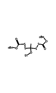 CCCCOC(=O)SSC(C)(OCC)SSC(=O)OCCCC